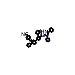 N#Cc1ccc(-n2c3ccccc3c3ccc(-c4ccc(N/C=C/C(=C\C(=N)c5ccccc5)c5ccccc5)c(-c5ccccc5)c4)cc32)cc1